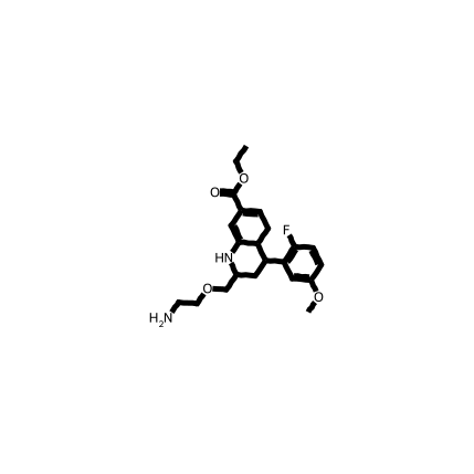 CCOC(=O)C1=CCC2C(=C1)NC(COCCN)CC2c1cc(OC)ccc1F